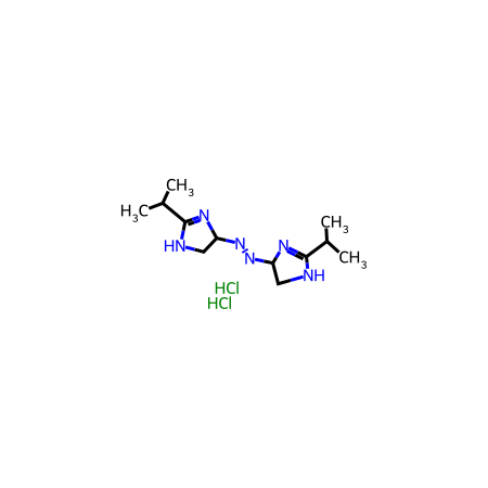 CC(C)C1=NC(N=NC2CNC(C(C)C)=N2)CN1.Cl.Cl